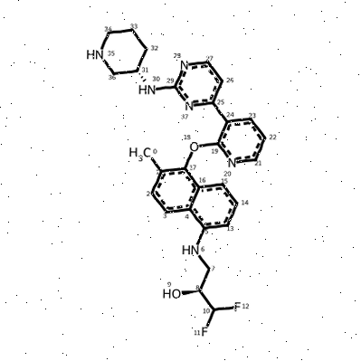 Cc1ccc2c(NC[C@H](O)C(F)F)cccc2c1Oc1ncccc1-c1ccnc(N[C@H]2CCCNC2)n1